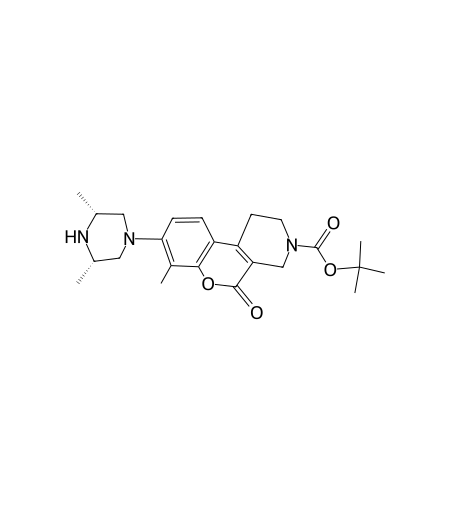 Cc1c(N2C[C@@H](C)N[C@@H](C)C2)ccc2c3c(c(=O)oc12)CN(C(=O)OC(C)(C)C)CC3